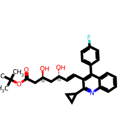 CC(C)(C)OC(=O)C[C@@H](O)C[C@H](O)C=Cc1c(C2CC2)nc2ccccc2c1-c1ccc(F)cc1